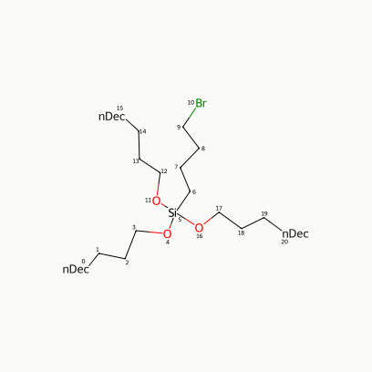 CCCCCCCCCCCCCO[Si](CCCCBr)(OCCCCCCCCCCCCC)OCCCCCCCCCCCCC